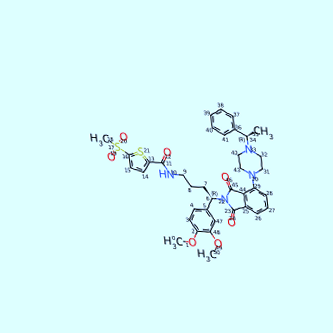 COc1ccc([C@@H](CCCNC(=O)c2ccc(S(C)(=O)=O)s2)N2C(=O)c3cccc(N4CCN([C@H](C)c5ccccc5)CC4)c3C2=O)cc1OC